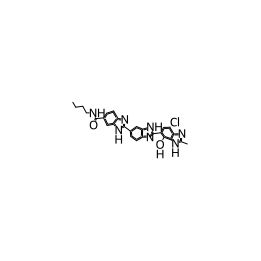 CCCCNC(=O)c1ccc2nc(-c3ccc4nc(-c5cc(Cl)c6nc(C)[nH]c6c5O)[nH]c4c3)[nH]c2c1